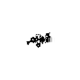 C[C@H](NS(=O)(=O)c1cnc(C2C(C#N)c3ccc(C4CC4)cc3N2C2CCCC2)nc1)C1CC1